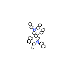 C1=CC2=CC=C(N(c3ccc4ccccc4c3)c3ccc4c(-c5ccc6ccccc6c5)c5cc(N(c6ccc7ccccc7c6)c6ccc7ccccc7c6)ccc5c(-c5ccc6ccccc6c5)c4c3)CC2CC1